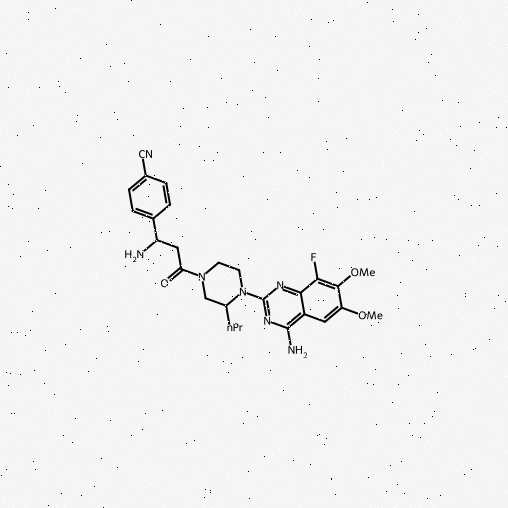 CCCC1CN(C(=O)CC(N)c2ccc(C#N)cc2)CCN1c1nc(N)c2cc(OC)c(OC)c(F)c2n1